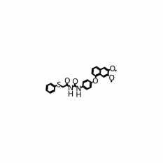 COc1cc2cccc(Oc3ccc(NC(=O)NC(=O)CSc4ccccc4)cc3)c2cc1OC